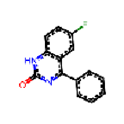 O=c1nc(-c2ccccc2)c2cc(F)ccc2[nH]1